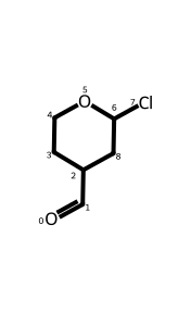 O=CC1CCOC(Cl)C1